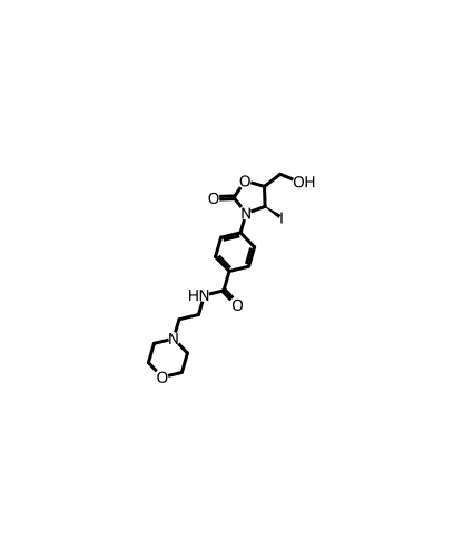 O=C(NCCN1CCOCC1)c1ccc(N2C(=O)OC(CO)[C@H]2I)cc1